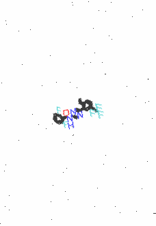 CCc1ccc(C(F)(F)F)cc1-c1cnc(NC(=O)c2c(F)cccc2F)cn1